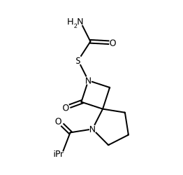 CC(C)C(=O)N1CCCC12CN(SC(N)=O)C2=O